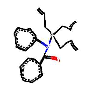 C=CC[Si](CC=C)(CC=C)N(C(=O)c1ccccc1)c1ccccc1